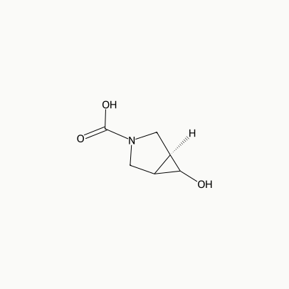 O=C(O)N1CC2C(O)[C@@H]2C1